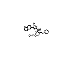 CC(CCN1CCCCC1)C(=O)Nc1cc(-c2ccc3ncccc3c2)[nH]n1.O=CO